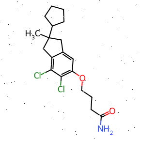 CC1(C2CCCC2)Cc2cc(OCCCC(N)=O)c(Cl)c(Cl)c2C1